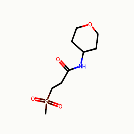 CS(=O)(=O)CCC(=O)NC1CCOCC1